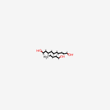 CCCCCO.OCCCCCCCCCCO